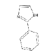 B1C=CN=C1c1ccccc1